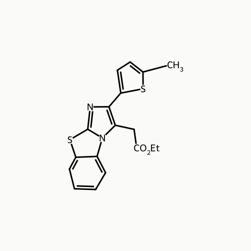 CCOC(=O)Cc1c(-c2ccc(C)s2)nc2sc3ccccc3n12